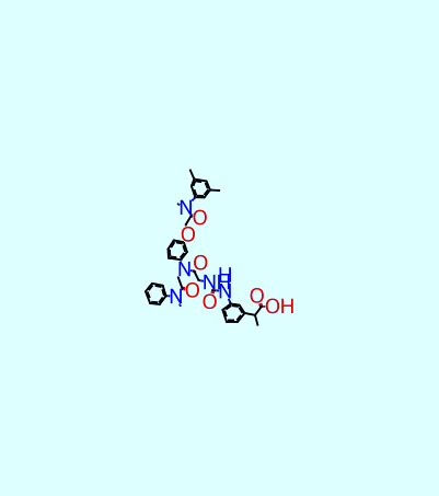 Cc1cc(C)cc(N(C)C(=O)COc2cccc(N(CC(=O)N(C)c3ccccc3)C(=O)CNC(=O)Nc3cccc(C(C)C(=O)O)c3)c2)c1